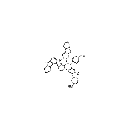 CC(C)(C)c1ccc(N2B3c4cc5sc6ccccc6c5cc4-n4c5ccc6oc7ccccc7c6c5c5ccc(c3c54)-c3cc4c(cc32)C(C)(C)c2ccc(C(C)(C)C)cc2-4)cc1